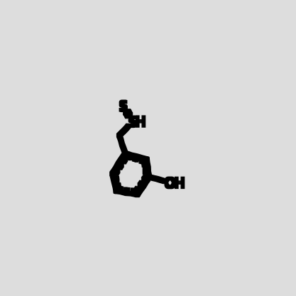 Oc1cccc(C[SH]=S)c1